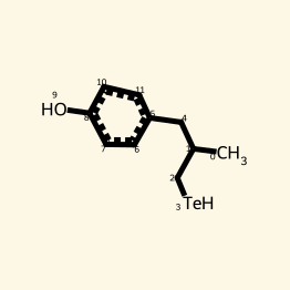 CC(C[TeH])Cc1ccc(O)cc1